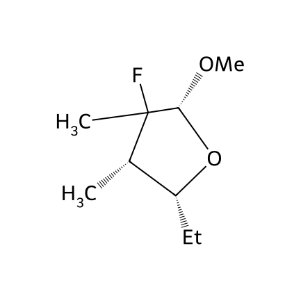 CC[C@H]1O[C@@H](OC)C(C)(F)[C@H]1C